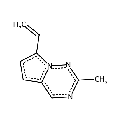 C=Cc1ccc2cnc(C)nn12